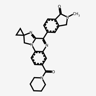 CN1Cc2cc(C3=Nc4cc(C(=O)N5CCCCC5)ccc4N4CC5(CC5)N=C34)ccc2C1=O